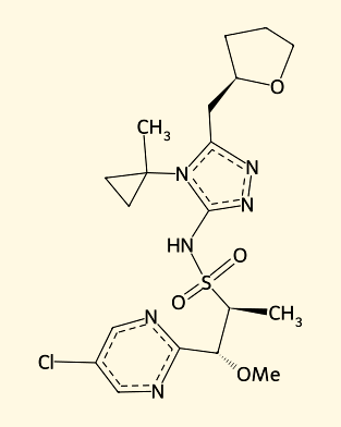 CO[C@H](c1ncc(Cl)cn1)[C@H](C)S(=O)(=O)Nc1nnc(C[C@H]2CCCO2)n1C1(C)CC1